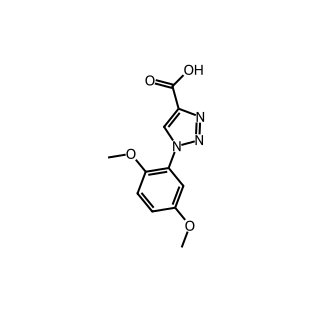 COc1ccc(OC)c(-n2cc(C(=O)O)nn2)c1